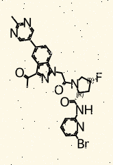 CC(=O)c1nn(CC(=O)N2C[C@H](F)C[C@@H]2C(=O)Nc2cccc(Br)n2)c2ccc(-c3cnc(C)nc3)cc12